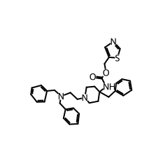 O=C(NC1(Cc2ccccc2)CCN(CCN(Cc2ccccc2)Cc2ccccc2)CC1)OCc1cncs1